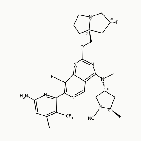 Cc1cc(N)nc(-c2ncc3c(N(C)[C@@H]4C[C@@H](C)N(C#N)C4)nc(OC[C@@]45CCCN4C[C@H](F)C5)nc3c2F)c1C(F)(F)F